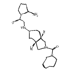 NC1CCCN1C(=O)CNC1C[C@@H]2CN(C(=O)N3CCCCC3)C[C@@H]2C1